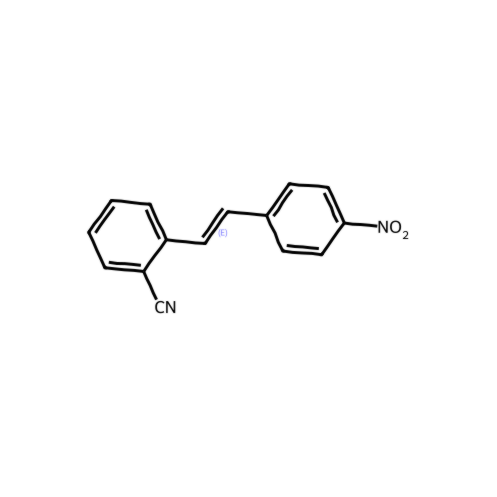 N#Cc1ccccc1/C=C/c1ccc([N+](=O)[O-])cc1